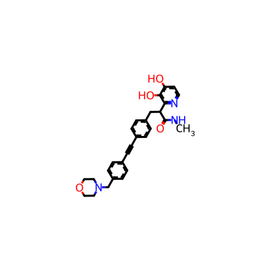 CNC(=O)C(Cc1ccc(C#Cc2ccc(CN3CCOCC3)cc2)cc1)c1nccc(O)c1O